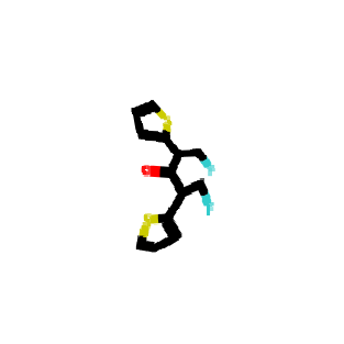 O=C(C(CF)c1cccs1)C(CF)c1cccs1